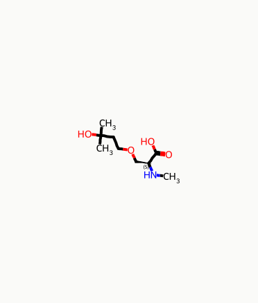 CN[C@@H](COCCC(C)(C)O)C(=O)O